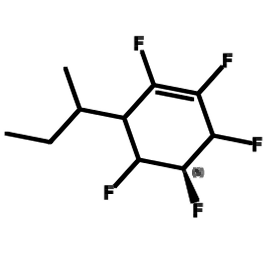 CCC(C)C1C(F)=C(F)C(F)[C@@H](F)C1F